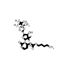 CCCCCOC(=O)Nc1ccnc(=O)n1[C@@H]1O[C@H](CO[Si](C)(C)C(C)(C)C)[C@@H](O)C1(F)F